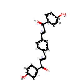 O=C(/C=C/c1ccc(/C=C/C(=O)c2ccc(O)cc2)cc1)c1ccc(O)cc1